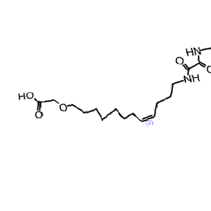 CNC(=O)C(=O)NCCC/C=C\CCCCCCCOCC(=O)O